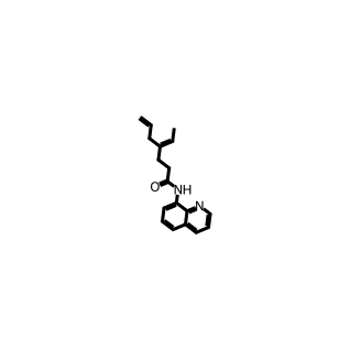 C=CCC(=CC)CCC(=O)Nc1cccc2cccnc12